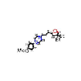 CCC1(CC)COC(CCCN2CCN(c3ccc(OC)cc3)CC2)C1